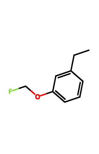 CCc1cccc(OCF)c1